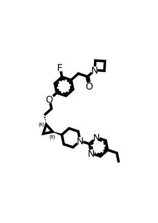 CCc1cnc(N2CCC([C@H]3C[C@@H]3CCOc3ccc(CC(=O)N4CCC4)c(F)c3)CC2)nc1